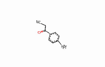 CCCc1ccc(C(=O)CC#N)cc1